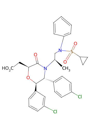 C[C@H](CN(c1ccccc1)S(=O)(=O)C1CC1)N1C(=O)[C@H](CC(=O)O)O[C@H](c2cccc(Cl)c2)[C@H]1c1ccc(Cl)cc1